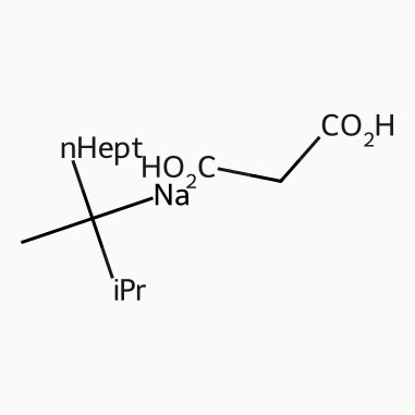 CCCCCCC[C](C)([Na])C(C)C.O=C(O)CC(=O)O